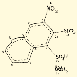 O=[N+]([O-])c1cc2ccccc2c(S(=O)(=O)O)c1[N+](=O)[O-].[BaH2]